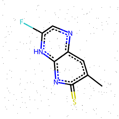 Cc1cc2ncc(F)[nH]c-2nc1=S